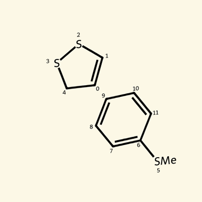 C1=CSSC1.CSc1ccccc1